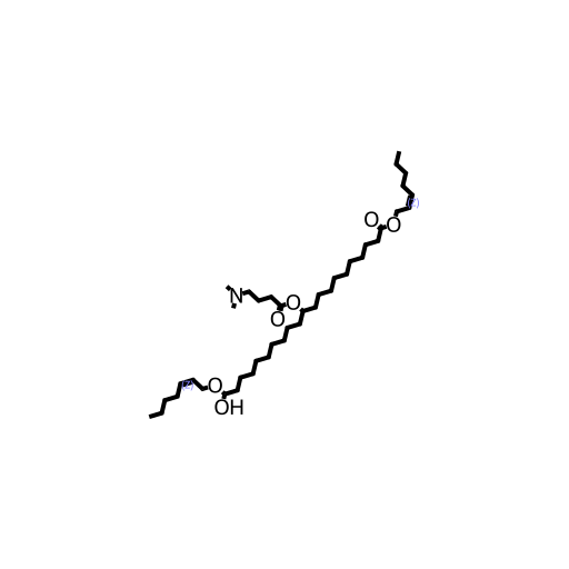 CCCC/C=C\COC(=O)CCCCCCCCCC(CCCCCCCCCC(O)OC/C=C\CCCC)OC(=O)CCCN(C)C